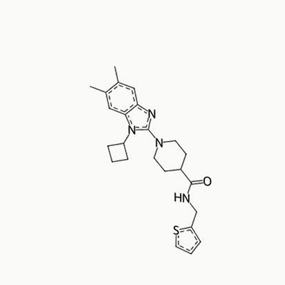 Cc1cc2nc(N3CCC(C(=O)NCc4cccs4)CC3)n(C3CCC3)c2cc1C